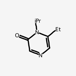 CCc1cncc(=O)n1C(C)C